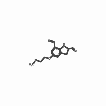 COCCOc1cc2c(c(N=O)c1)NC(C=O)C2